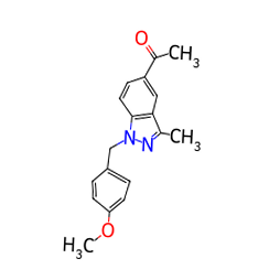 COc1ccc(Cn2nc(C)c3cc(C(C)=O)ccc32)cc1